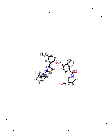 Cc1ccc(OCc2ccc(C(=O)N3CC[C@H](CO)C3)cc2C)c(-c2csc(N3CC4CC[C@H](C3)[C@@H]4C(=O)O)n2)c1